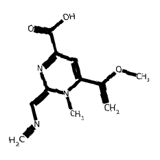 C=N/C=C1/N=C(C(=O)O)C=C(C(=C)OC)N1C